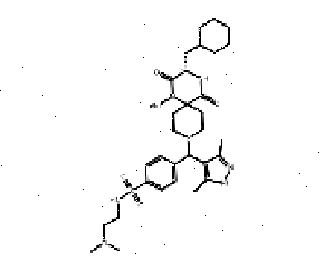 CCCCN1C(=O)[C@H](CC2CCCCC2)NC(=O)C12CCN(C(c1ccc(S(=O)(=O)NCCN(C)C)cc1)c1c(C)n[nH]c1C)CC2